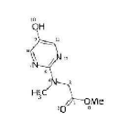 COC(=O)CN(C)c1ncc(O)cn1